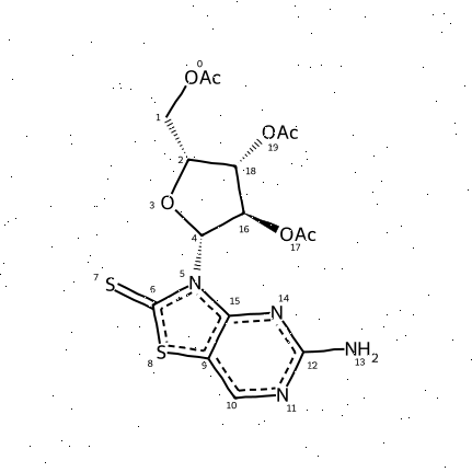 CC(=O)OC[C@H]1O[C@@H](n2c(=S)sc3cnc(N)nc32)[C@H](OC(C)=O)[C@H]1OC(C)=O